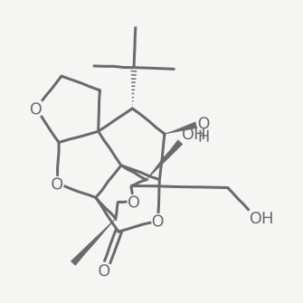 C[C@@H]1COC(CO)[C@H](O)C23C4OC(=O)C12OC1OCCC13[C@H](C(C)(C)C)[C@H]4O